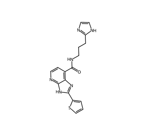 O=C(NCCCc1ncc[nH]1)c1ccnc2[nH]c(-c3cccs3)nc12